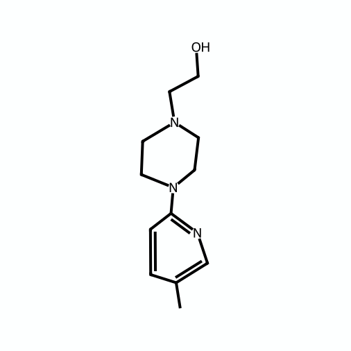 Cc1ccc(N2CCN(CCO)CC2)nc1